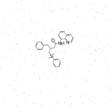 C[Si](C)(CC(CC(=O)Nc1cccc2cccnc12)Cc1ccccc1)c1ccccc1